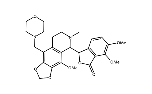 COc1ccc2c(c1OC)C(=O)OC2C1c2c(c(CN3CCOCC3)c3c(c2OC)OCO3)CCN1C